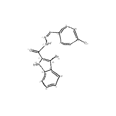 O=C(N/N=C\c1ccc(Cl)cc1)c1[nH]c2ccccc2c1Br